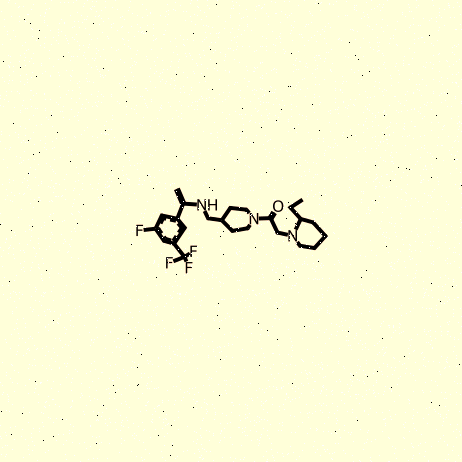 C=C(NCC1CCN(C(=O)CN2CCCCC2CC)CC1)c1cc(F)cc(C(F)(F)F)c1